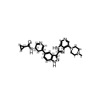 CN1CCN(c2cncc3[nH]c(-c4n[nH]c5ccc(C6=CN=C[C@@H](NC(=O)C7CC7)C6)cc45)nc23)CC1